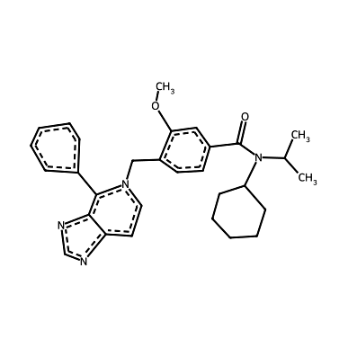 COc1cc(C(=O)N(C(C)C)C2CCCCC2)ccc1Cn1ccc2ncnc-2c1-c1ccccc1